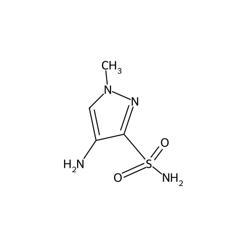 Cn1cc(N)c(S(N)(=O)=O)n1